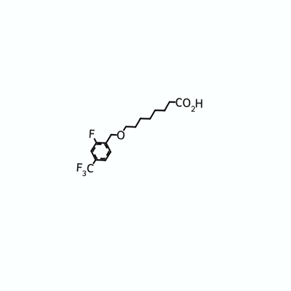 O=C(O)CCCCCCCOCc1ccc(C(F)(F)F)cc1F